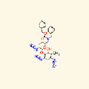 CC1C(N=[N+]=[N-])CC(N=[N+]=[N-])C(OC2OC(CN(Cc3ccccc3)C(=O)OCc3ccccc3)CCC2N=[N+]=[N-])C1O